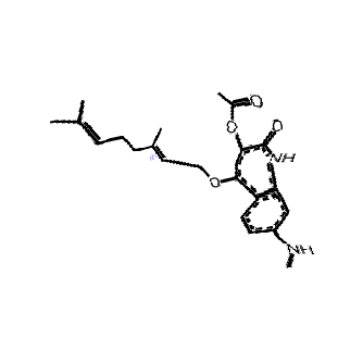 CNc1ccc2c(OC/C=C(\C)CCC=C(C)C)c(OC(C)=O)c(=O)[nH]c2c1